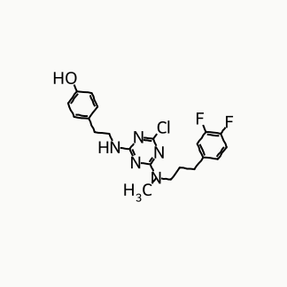 CN(CCCc1ccc(F)c(F)c1)c1nc(Cl)nc(NCCc2ccc(O)cc2)n1